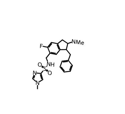 CNC1Cc2cc(F)c(CNS(=O)(=O)c3cn(C)cn3)cc2C1Cc1ccccc1